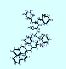 O=C(CCCc1ccc2ccc3cccc4ccc1c2c34)Nc1cccnc1CN(Cc1ccccn1)CC(O)CN(Cc1ccccn1)Cc1ccccn1